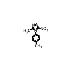 Cc1ccc(-n2c(C)nnc2[N+](=O)[O-])cc1